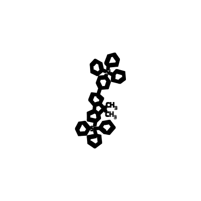 CC1(C)c2cc(-c3ccc([Si](c4ccccc4)(c4ccccc4)c4ccccc4)cc3)ccc2-c2ccc([Si](c3ccccc3)(c3ccccc3)c3ccccc3)cc21